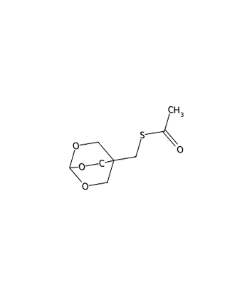 CC(=O)SCC12COC(OC1)OC2